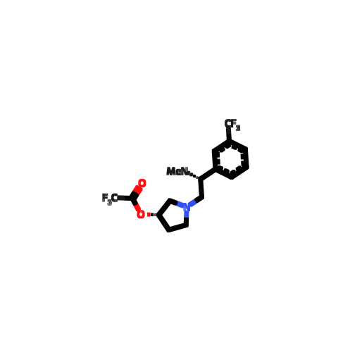 CN[C@@H](CN1CC[C@H](OC(=O)C(F)(F)F)C1)c1cccc(C(F)(F)F)c1